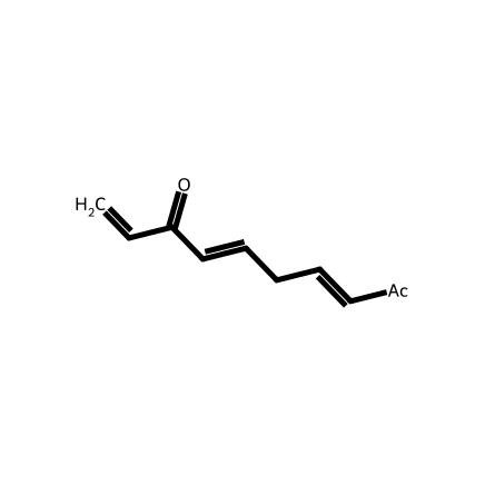 C=CC(=O)C=CCC=CC(C)=O